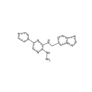 NNc1ncc(-c2ccncc2)nc1NCc1ccc2nccn2c1